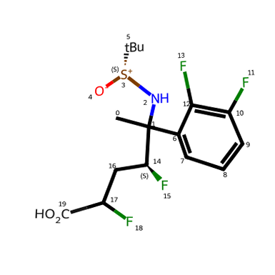 CC(N[S@+]([O-])C(C)(C)C)(c1cccc(F)c1F)[C@@H](F)CC(F)C(=O)O